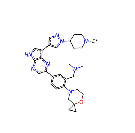 CCN1CCC(n2cc(-c3c[nH]c4ncc(-c5ccc(N6CCOC7(CC7)C6)c(CN(C)C)c5)nc34)cn2)CC1